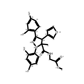 COC(=O)CNC(=O)C1(C)C(c2ccoc2)C(c2ccc(F)cc2F)=NN1c1ccc(F)cc1F